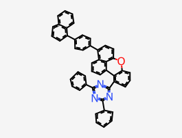 c1ccc(-c2nc(-c3ccccc3)nc(-c3cccc4c3-c3cccc5c(-c6ccc(-c7cccc8ccccc78)cc6)ccc(c35)O4)n2)cc1